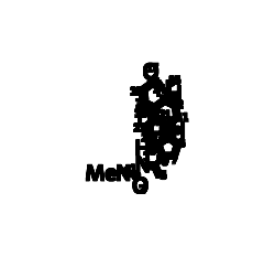 CNC(=O)NC(C)[C@H]1CC[C@H]2[C@@H]3CC[C@H]4N(C)C(=O)C=C[C@]4(C)[C@H]3CC[C@]12C